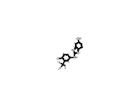 Oc1ccc2oc(Nc3ccc(Cl)c(C(F)(F)F)c3)nc2c1